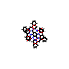 c1ccc(-c2cc(-c3ccccc3)nc(-c3c(N(c4ccccc4)c4ccccc4)c(-n4c5ccccc5c5ccccc54)c(-c4nc(-c5ccccc5)cc(-c5ccccc5)n4)c(N(c4ccccc4)c4ccccc4)c3-n3c4ccccc4c4ccccc43)n2)cc1